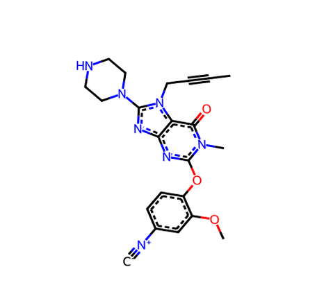 [C-]#[N+]c1ccc(Oc2nc3nc(N4CCNCC4)n(CC#CC)c3c(=O)n2C)c(OC)c1